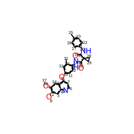 COc1cc2nccc(Oc3ccc(NC(=O)C4(C(=O)Nc5ccc(C)cc5)CC4)c(C)c3)c2cc1OC